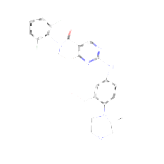 C[C@H]1CNCCN1c1ccc(Nc2ncc3c(n2)SCN(c2c(Cl)cccc2Cl)C3=O)cc1CO